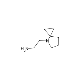 NCCN1CCCC12CC2